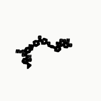 COc1cc2nn(C3CCC(C(=O)N4CCC(OCC#Cc5cccc6c5n(C)c(=O)n6C5CCC(=O)NC5=O)CC4)CC3)cc2cc1C(=O)Nc1cccn(C2CC2)c1=O